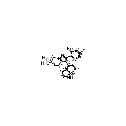 CC1(C)Cn2nc(-c3ncc(F)cc3F)c(-c3ccnc4[nH]ncc34)c2CO1